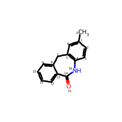 Cc1ccc2c(c1)Cc1ccccc1C(=O)N2